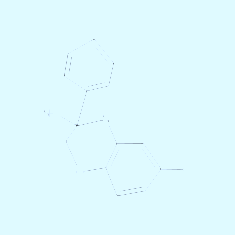 N#CC1(c2ccccc2)COc2ccc(Cl)cc2N1